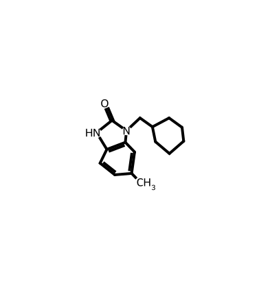 Cc1ccc2[nH]c(=O)n(CC3CCCCC3)c2c1